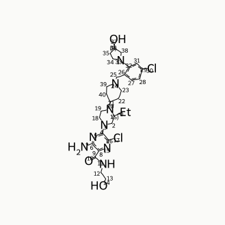 CC[C@H]1CN(c2nc(N)c(C(=O)NCCO)nc2Cl)CCN1C1CCN(Cc2ccc(Cl)cc2N2CC[C@@H](O)C2)CC1